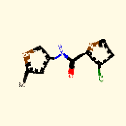 CC(=O)c1cc(NC(=O)c2sccc2Cl)cs1